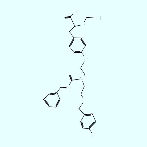 CCOC(Cc1ccc(OCCN(CCOCc2ccc(F)cc2)C(=O)NCc2ccccc2)cc1)C(=O)O